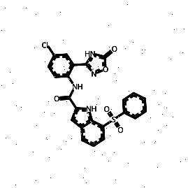 O=C(Nc1ccc(Cl)cc1-c1noc(=O)[nH]1)c1cc2cccc(S(=O)(=O)c3ccccc3)c2[nH]1